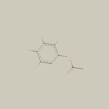 CC(=O)Oc1cc(F)c(F)c(F)c1F